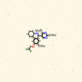 COc1ncc(C2=NC3CCCCC3c3cc(OCC(F)F)c(OC)cc32)c(OC)n1